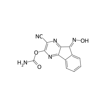 N#Cc1nc2c(nc1OC(N)=O)-c1ccccc1C2=NO